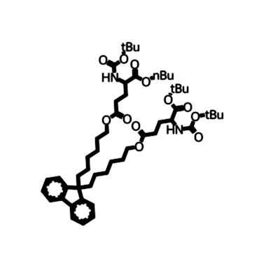 CCCCOC(=O)C(CCC(=O)OCCCCCCC1(CCCCCCOC(=O)CCC(NC(=O)OC(C)(C)C)C(=O)OC(C)(C)C)c2ccccc2-c2ccccc21)NC(=O)OC(C)(C)C